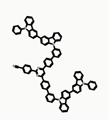 N#Cc1ccc(-c2nc(-c3ccc(-c4cccc(-n5c6ccccc6c6cc(-c7ccc8c(c7)c7ccccc7n8-c7ccccc7)ccc65)c4)cc3)cc(-c3ccc(-c4cccc(-n5c6ccccc6c6cc(-c7ccc8c(c7)c7ccccc7n8-c7ccccc7)ccc65)c4)cc3)n2)cc1